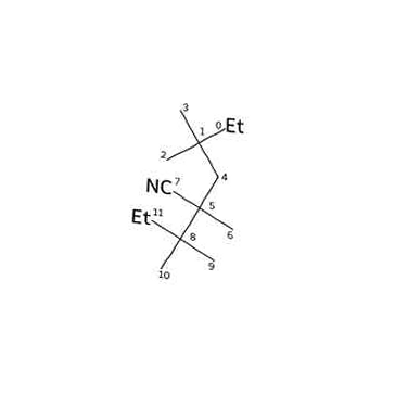 CCC(C)(C)CC(C)(C#N)C(C)(C)CC